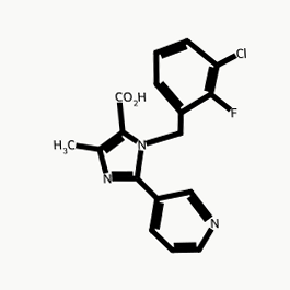 Cc1nc(-c2cccnc2)n(Cc2cccc(Cl)c2F)c1C(=O)O